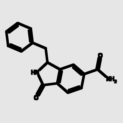 NC(=O)c1ccc2c(c1)C(Cc1ccccc1)NC2=O